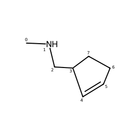 CNCC1C=CCC1